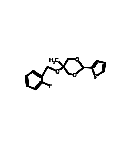 C[C@]1(OCc2ccccc2F)CO[C@H](c2cccs2)OC1